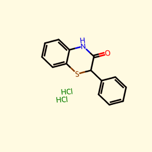 Cl.Cl.O=C1Nc2ccccc2SC1c1ccccc1